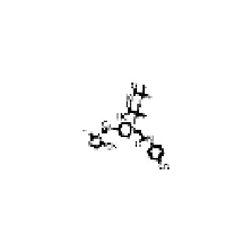 CCC1SCC(C#N)N1n1on1C1CCN(CC(=O)Nc2ccc(C#N)cc2)CC1.O=C(O)C(F)(F)F.O=C(O)C(F)(F)F